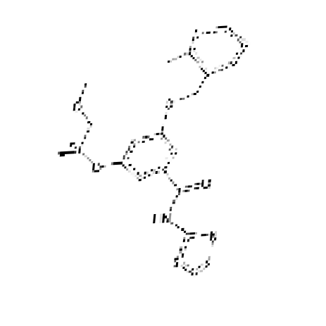 COC[C@H](C)Oc1cc(OCc2ccccc2C)cc(C(=O)Nc2nccs2)c1